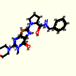 Cn1c(N2CCOCC2)nc2sc(N3CCCC3C(=O)NCc3ccccc3)nc2c1=O